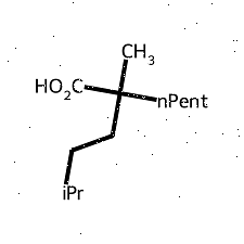 CCCCCC(C)(CCC(C)C)C(=O)O